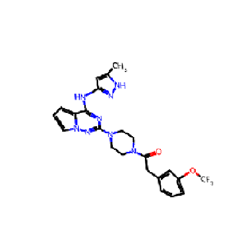 Cc1cc(Nc2nc(N3CCN(C(=O)Cc4cccc(OC(F)(F)F)c4)CC3)nn3cccc23)n[nH]1